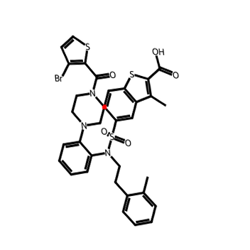 Cc1ccccc1CCN(c1ccccc1N1CCN(C(=O)c2sccc2Br)CC1)S(=O)(=O)c1ccc2sc(C(=O)O)c(C)c2c1